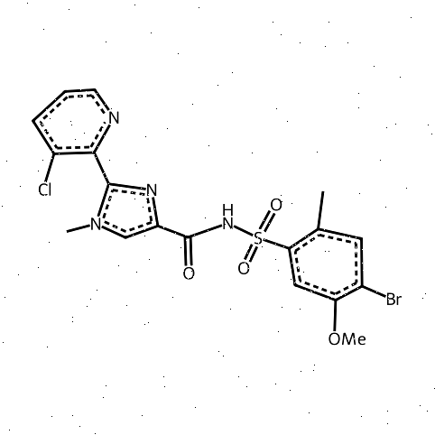 COc1cc(S(=O)(=O)NC(=O)c2cn(C)c(-c3ncccc3Cl)n2)c(C)cc1Br